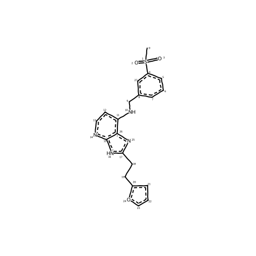 CS(=O)(=O)c1cccc(CNc2ccnc3[nH]c(CCc4ccco4)nc23)c1